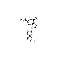 Nc1nc2c(ncn2[C@@H]2C[C@](F)(CO)CO2)c(=O)[nH]1